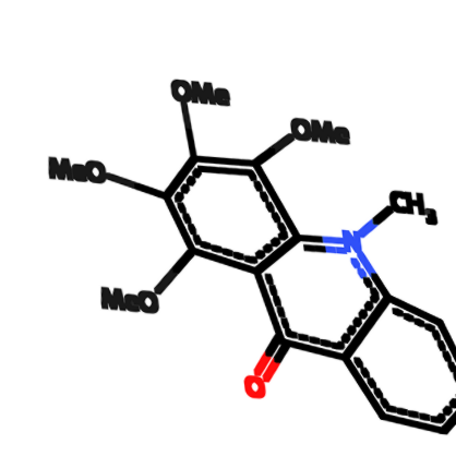 COc1c(OC)c(OC)c2c(c1OC)c(=O)c1ccccc1n2C